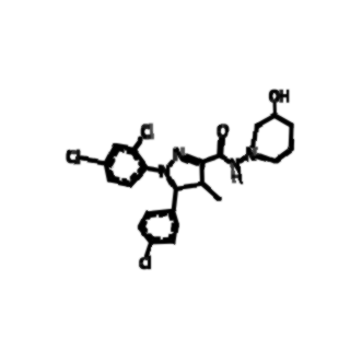 CC1C(C(=O)NN2CCCC(O)C2)=NN(c2ccc(Cl)cc2Cl)C1c1ccc(Cl)cc1